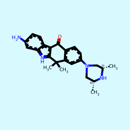 C[C@@H]1CN(c2ccc3c(c2)C(C)(C)c2[nH]c4cc(N)ccc4c2C3=O)C[C@H](C)N1